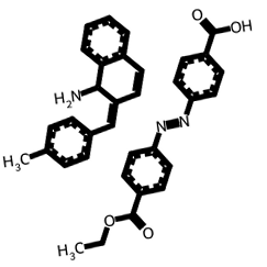 CCOC(=O)c1ccc(N=Nc2ccc(C(=O)O)cc2)cc1.Cc1ccc(C=C2C=Cc3ccccc3C2N)cc1